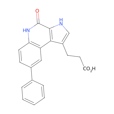 O=C(O)CCc1c[nH]c2c(=O)[nH]c3ccc(-c4ccccc4)cc3c12